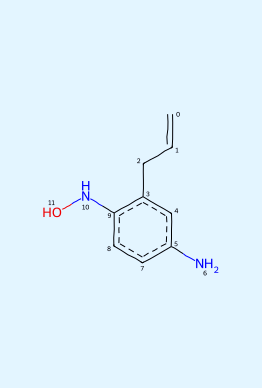 C=CCc1cc(N)ccc1NO